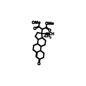 C#CC1(C(C(=O)OC)C(=O)OC)CCC2C3CCC4=CC(=O)CCC4C3CC[C@@]21C